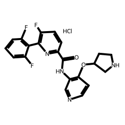 Cl.O=C(Nc1cnccc1OC1CCNC1)c1ccc(F)c(-c2c(F)cccc2F)n1